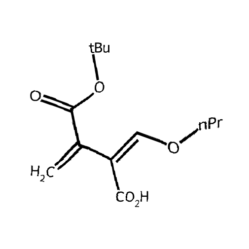 C=C(C(=O)OC(C)(C)C)C(=COCCC)C(=O)O